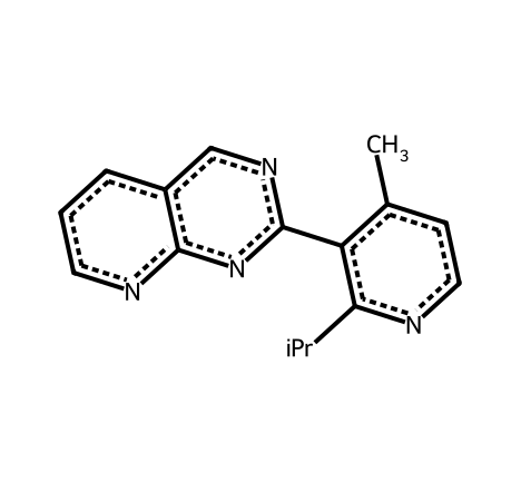 Cc1ccnc(C(C)C)c1-c1ncc2cccnc2n1